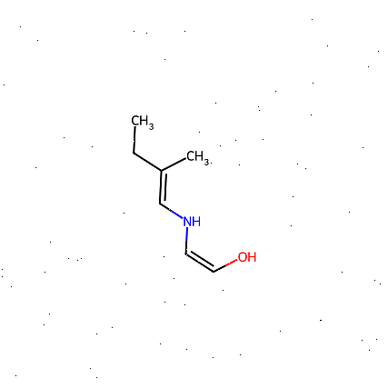 CC/C(C)=C/N/C=C\O